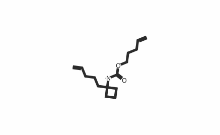 C=CCCCOC(=O)[N]C1(CCCC=C)CCC1